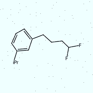 CC(C)c1cccc(CCCC(F)F)c1